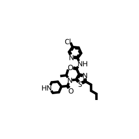 CCCCc1nc(C(=O)Nc2ccc(Cl)cn2)c(N(C(=O)C2CCNCC2)C(C)C)s1